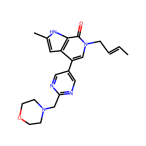 C/C=C/Cn1cc(-c2cnc(CN3CCOCC3)nc2)c2cc(C)[nH]c2c1=O